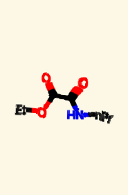 CCCNC(=O)C(=O)OCC